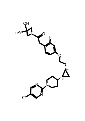 CCCC1(O)CN(C(=O)Cc2ccc(OCC[C@@H]3C[C@@H]3C3CCN(c4ncc(Cl)cn4)CC3)cc2F)C1